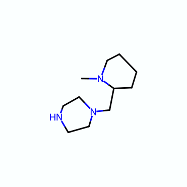 CN1CCCCC1CN1CCNCC1